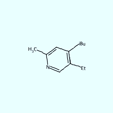 CCc1cnc(C)cc1C(C)CC